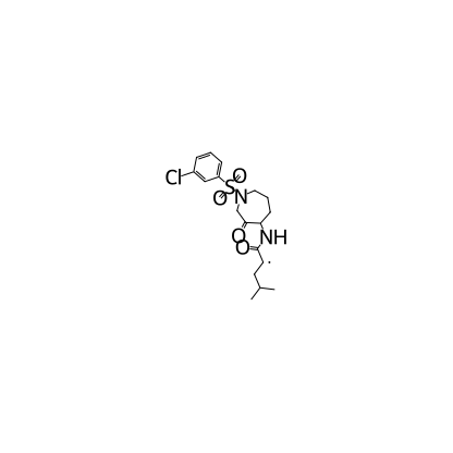 CC(C)C[CH]C(=O)NC1CCCN(S(=O)(=O)c2cccc(Cl)c2)CC1=O